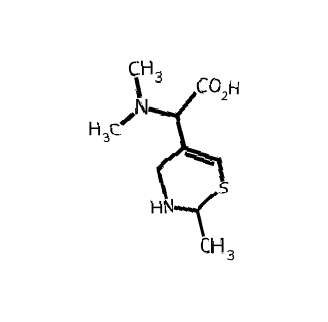 CC1NCC(C(C(=O)O)N(C)C)=CS1